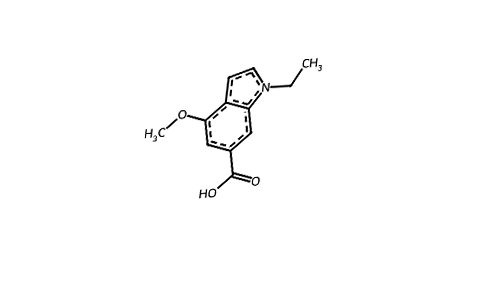 CCn1ccc2c(OC)cc(C(=O)O)cc21